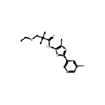 CCSCC(C)(C)C(=O)Nc1sc(-c2cncc(F)c2)nc1C